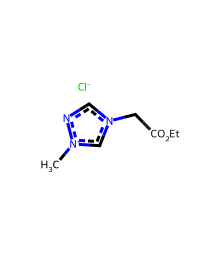 CCOC(=O)Cn1cn[n+](C)c1.[Cl-]